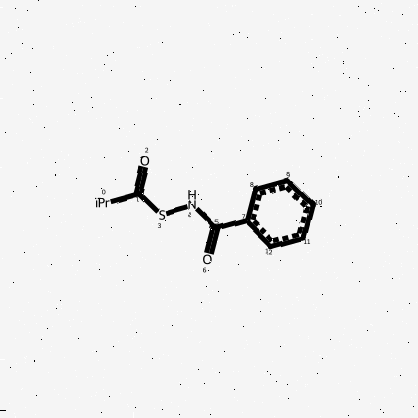 CC(C)C(=O)SNC(=O)c1ccccc1